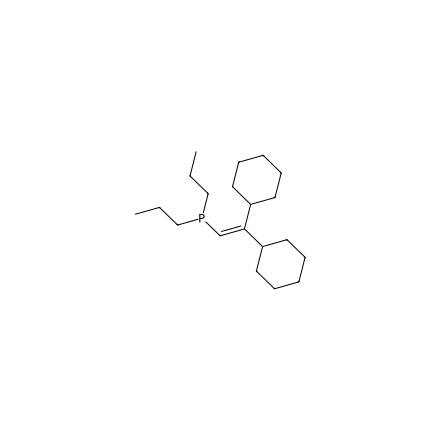 CCCP(C=C(C1CCCCC1)C1CCCCC1)CCC